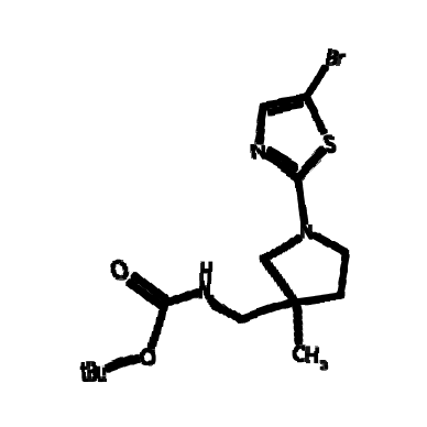 CC1(CNC(=O)OC(C)(C)C)CCN(c2ncc(Br)s2)C1